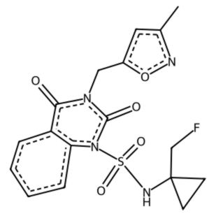 Cc1cc(Cn2c(=O)c3ccccc3n(S(=O)(=O)NC3(CF)CC3)c2=O)on1